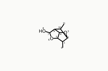 CC1C2OC3C1OC(O)C3C2C